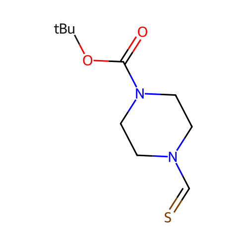 CC(C)(C)OC(=O)N1CCN(C=S)CC1